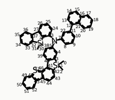 C[Si]1(C)c2cc(N(c3cccc(-c4cccc5ccccc45)c3)c3cccc4c3[Si](C)(C)c3ccccc3-4)ccc2-c2c1ccc1c2sc2ccccc21